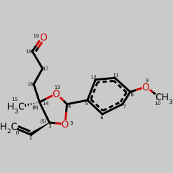 C=C[C@@H]1OC(c2ccc(OC)cc2)O[C@]1(C)CCC=O